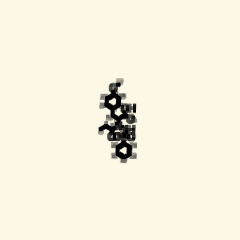 CCC(=O)N(NS(=O)(=O)c1ccccc1)C(Cc1ccc(OC)cc1)C(=O)O